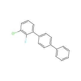 Fc1c(Cl)cccc1-c1ccc(-c2ccccc2)cc1